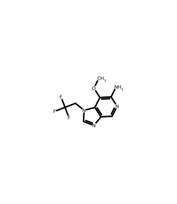 COc1c(N)ncc2ncn(CC(F)(F)F)c12